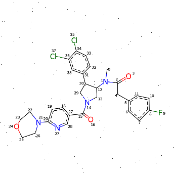 CN(C(=O)Cc1ccc(F)cc1)C1CN(C(=O)c2ccc(N3CCOCC3)nc2)CC1c1ccc(Cl)c(Cl)c1